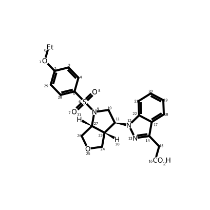 CCOc1ccc(S(=O)(=O)N2C[C@@H](n3nc(CC(=O)O)c4ccccc43)[C@@H]3COC[C@@H]32)cc1